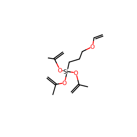 C=COCCC[Si](OC(=C)C)(OC(=C)C)OC(=C)C